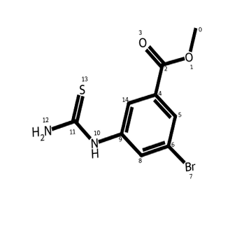 COC(=O)c1cc(Br)cc(NC(N)=S)c1